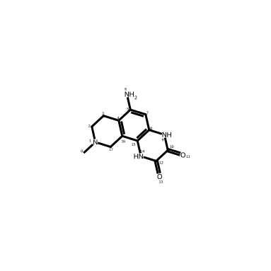 CN1CCc2c(N)cc3[nH]c(=O)c(=O)[nH]c3c2C1